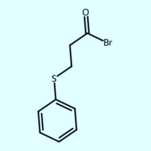 O=C(Br)CCSc1ccccc1